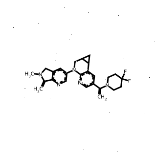 C=C1c2ncc(N3CC4CC4c4cc(C(=C)N5CCC(F)(F)CC5)cnc43)cc2CN1C